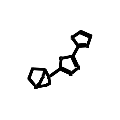 c1csc(-c2nnc(N3CCN4CCC3CC4)o2)n1